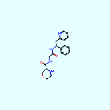 O=C(CNC(=O)[C@@H]1COCCN1)NC(Cc1ccccn1)c1ccccc1